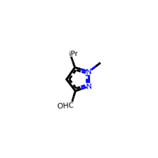 CC(C)c1cc(C=O)nn1C